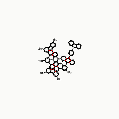 CC(C)(C)c1cc(-c2ccccc2)c(N2c3cc(N(c4ccccc4)c4ccc(-n5c6ccccc6c6ccccc65)cc4)ccc3B3c4ccc(-n5c6ccc(C(C)(C)C)cc6c6cc(C(C)(C)C)ccc65)cc4N(c4c(-c5ccccc5)cc(C(C)(C)C)cc4-c4ccccc4)c4cc(-n5c6ccc(C(C)(C)C)cc6c6cc(C(C)(C)C)ccc65)cc2c43)c(-c2ccccc2)c1